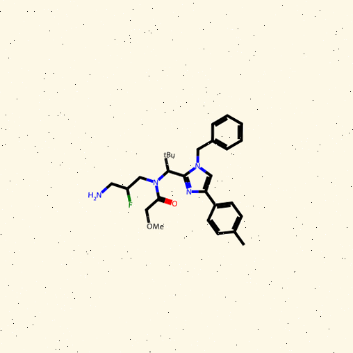 COCC(=O)N(CC(F)CN)C(c1nc(-c2ccc(C)cc2)cn1Cc1ccccc1)C(C)(C)C